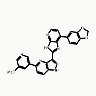 COc1cncc(-c2ccc3[nH]nc(-c4nc5c(-c6ccc7c(c6)OCO7)ccnc5[nH]4)c3n2)c1